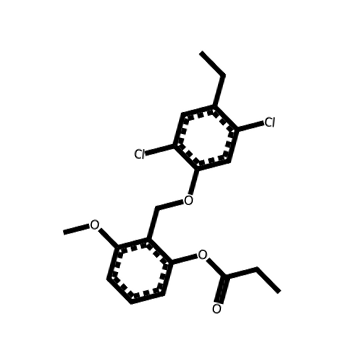 CCC(=O)Oc1cccc(OC)c1COc1cc(Cl)c(CC)cc1Cl